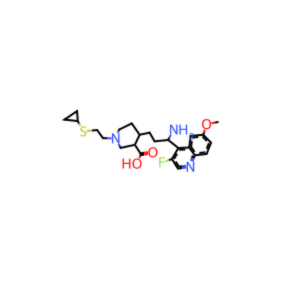 COc1ccc2ncc(F)c(C(N)CCC3CCN(CCSC4CC4)CC3C(=O)O)c2c1